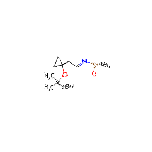 CC(C)(C)[S@@+]([O-])/N=C/CC1(O[Si](C)(C)C(C)(C)C)CC1